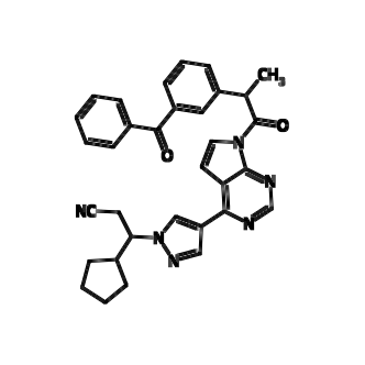 CC(C(=O)n1ccc2c(-c3cnn(C(CC#N)C4CCCC4)c3)ncnc21)c1cccc(C(=O)c2ccccc2)c1